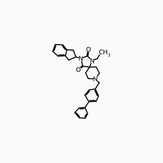 CCN1C(=O)N(C2Cc3ccccc3C2)C(=O)C12CCN(Cc1ccc(-c3ccccc3)cc1)CC2